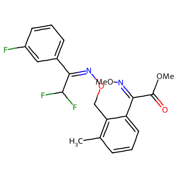 CO/N=C(/C(=O)OC)c1cccc(C)c1CO/N=C(/c1cccc(F)c1)C(F)F